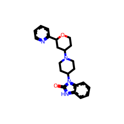 O=c1[nH]c2ccccc2n1C1CCN(C2CCOC(c3ccccn3)C2)CC1